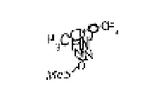 CSCCOc1cnc(NCc2cc(C(F)(F)F)ccc2N2CCC(C)CC2)nc1